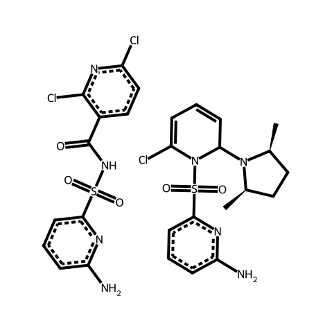 C[C@@H]1CC[C@H](C)N1C1C=CC=C(Cl)N1S(=O)(=O)c1cccc(N)n1.Nc1cccc(S(=O)(=O)NC(=O)c2ccc(Cl)nc2Cl)n1